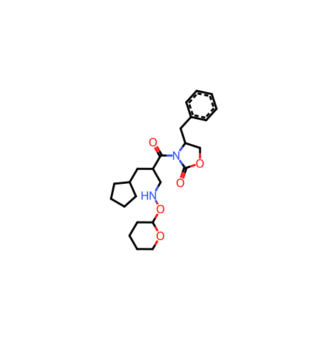 O=C1OCC(Cc2ccccc2)N1C(=O)C(CNOC1CCCCO1)CC1CCCC1